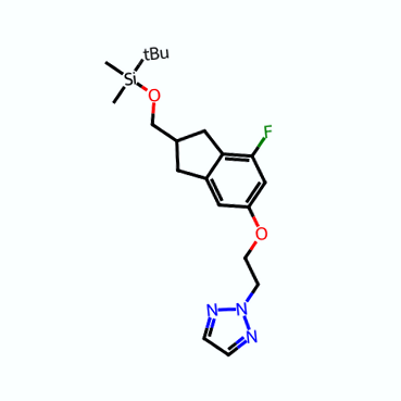 CC(C)(C)[Si](C)(C)OCC1Cc2cc(OCCn3nccn3)cc(F)c2C1